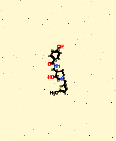 Cc1ccc(CN2CCC(CNC(=O)c3ccc(O)cc3)C(O)C2)s1